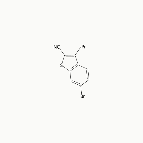 CC(C)c1c(C#N)sc2cc(Br)ccc12